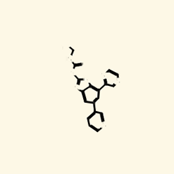 CCNC(=O)Nc1nc2cc(-c3cccnc3)cc(-c3cnccn3)c2[nH]1